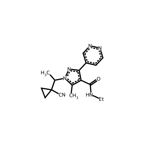 CCNC(=O)c1c(-c2ccnnc2)nn(C(C)C2(C#N)CC2)c1C